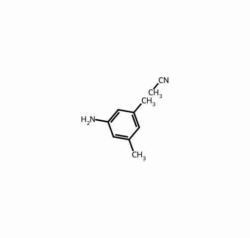 CC#N.Cc1cc(C)cc(N)c1